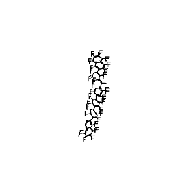 C\C(=C(F)/C(F)=C(\C(F)=C\F)c1c(F)c(F)c2c(F)c(F)c(F)c(F)c2c1F)c1c(F)c(F)c(-c2c(F)c(F)c(-c3c(F)c(F)c(-c4ccc5c(F)c(F)c(F)c(F)c5c4F)c(F)c3F)c(F)c2F)c(F)c1F